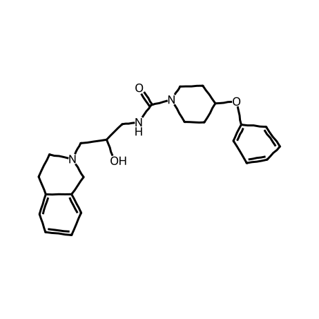 O=C(NCC(O)CN1CCc2ccccc2C1)N1CCC(Oc2ccccc2)CC1